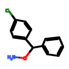 NOC(c1ccccc1)c1ccc(Cl)cc1